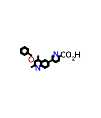 Cc1nc2ccc(-c3ccc(C(=O)O)nc3)cc2c(C)c1OCc1ccccc1